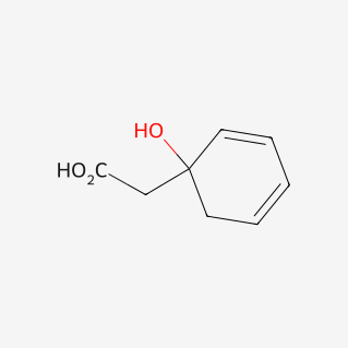 O=C(O)CC1(O)C=CC=CC1